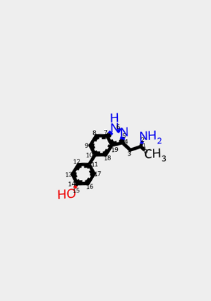 CC(N)Cc1n[nH]c2ccc(-c3ccc(O)cc3)cc12